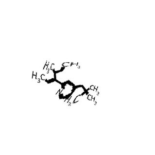 C/C=C(/c1cc(CC(C)(C)C)ccn1)C(C)CC